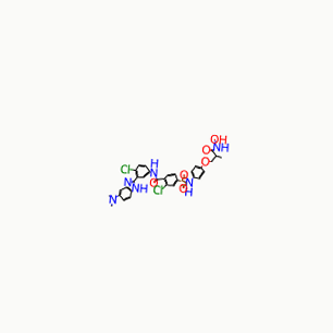 CC(COc1ccc(NS(=O)(=O)c2ccc(C(=O)Nc3ccc(Cl)c(-c4nc5cc(N(C)C)ccc5[nH]4)c3)c(Cl)c2)cc1)C(=O)NO